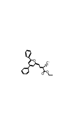 [C-]#[N+]C(=CC=C1C=C(c2ccccc2)C=C(c2ccccc2)O1)C(=O)OCC